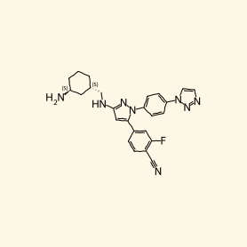 N#Cc1ccc(-c2cc(NC[C@H]3CCC[C@H](N)C3)nn2-c2ccc(-n3ccnn3)cc2)cc1F